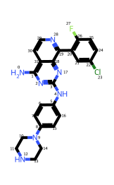 Nc1nc(Nc2ccc(N3CCNCC3)cc2)nc2c(-c3cc(Cl)ccc3F)nccc12